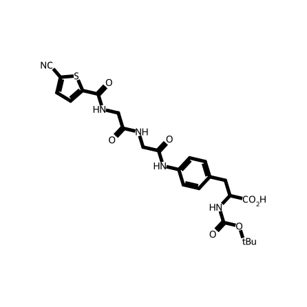 CC(C)(C)OC(=O)NC(Cc1ccc(NC(=O)CNC(=O)CNC(=O)c2ccc(C#N)s2)cc1)C(=O)O